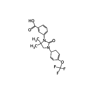 CC1(C)CN(C2C=CC(OC(F)(F)F)=CC2)C(=O)N1c1cccc(C(=O)O)c1